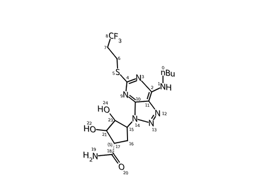 CCCCNc1nc(SCCC(F)(F)F)nc2c1nnn2C1C[C@H](C(N)=O)C(O)C1O